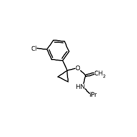 C=C(NC(C)C)OC1(c2cccc(Cl)c2)CC1